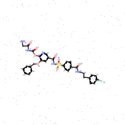 NCC(=O)NC(=O)Oc1ncc(C(=O)NS(=O)(=O)c2ccc(C(=O)NCCc3ccc(F)cc3)cc2)cc1OCc1ccccc1